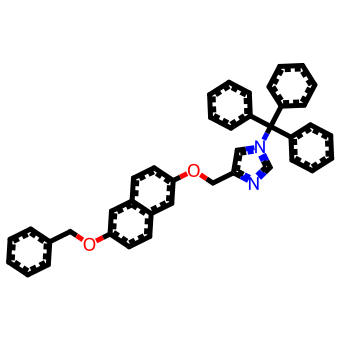 c1ccc(COc2ccc3cc(OCc4cn(C(c5ccccc5)(c5ccccc5)c5ccccc5)cn4)ccc3c2)cc1